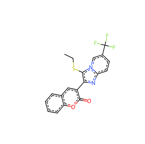 CCSc1c(-c2cc3ccccc3oc2=O)nc2ccc(C(F)(F)F)cn12